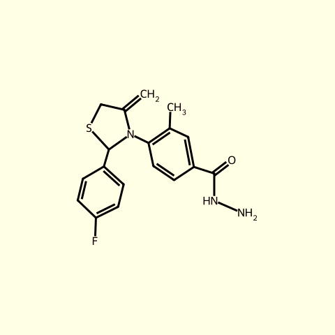 C=C1CSC(c2ccc(F)cc2)N1c1ccc(C(=O)NN)cc1C